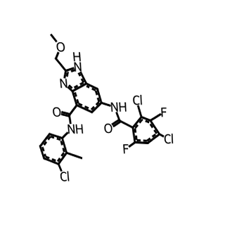 COCc1nc2c(C(=O)Nc3cccc(Cl)c3C)cc(NC(=O)c3c(F)cc(Cl)c(F)c3Cl)cc2[nH]1